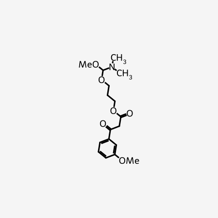 COc1cccc(C(=O)CC(=O)OCCCOC(OC)N(C)C)c1